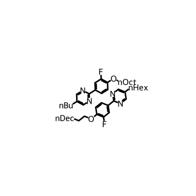 CCCCCCCCCCCCOc1ccc(-c2ncc(CCCCCC)cn2)cc1F.CCCCCCCCOc1ccc(-c2ncc(CCCC)cn2)cc1F